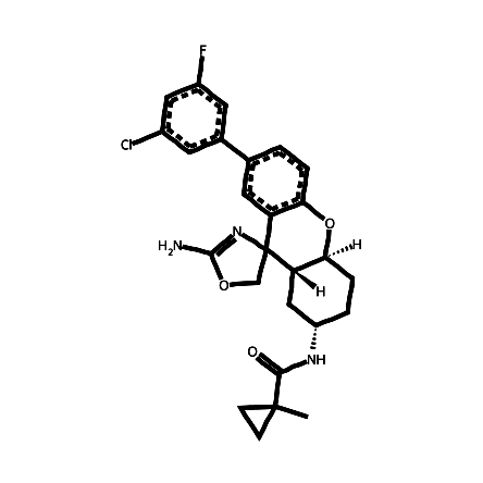 CC1(C(=O)N[C@H]2CC[C@@H]3Oc4ccc(-c5cc(F)cc(Cl)c5)cc4C4(COC(N)=N4)[C@H]3C2)CC1